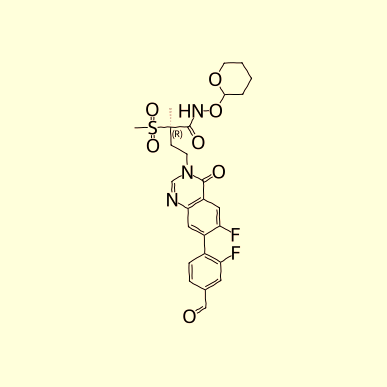 C[C@@](CCn1cnc2cc(-c3ccc(C=O)cc3F)c(F)cc2c1=O)(C(=O)NOC1CCCCO1)S(C)(=O)=O